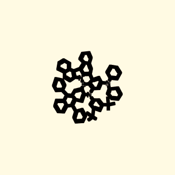 CC(C)(C)c1cc(N2c3cc4c(-c5ccccc5)c5ccccc5c(-c5ccccc5)c4cc3B3c4c(cc(N(c5ccccc5)c5ccccc5)cc42)-c2cc4ccccc4c4c5c6ccccc6ccc5n3c24)cc(C(C)(C)C)c1